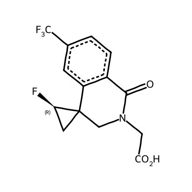 O=C(O)CN1CC2(C[C@H]2F)c2cc(C(F)(F)F)ccc2C1=O